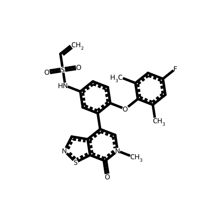 C=CS(=O)(=O)Nc1ccc(Oc2c(C)cc(F)cc2C)c(-c2cn(C)c(=O)c3sncc23)c1